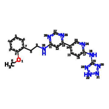 COc1ccccc1CCNc1cc(-c2ccc(Nc3nn[nH]n3)nc2)ncn1